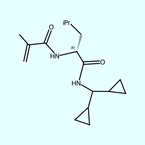 C=C(C)C(=O)N[C@H](CC(C)C)C(=O)NC(C1CC1)C1CC1